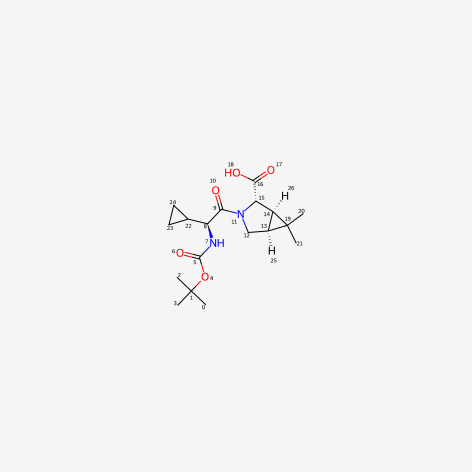 CC(C)(C)OC(=O)N[C@H](C(=O)N1C[C@H]2[C@@H]([C@H]1C(=O)O)C2(C)C)C1CC1